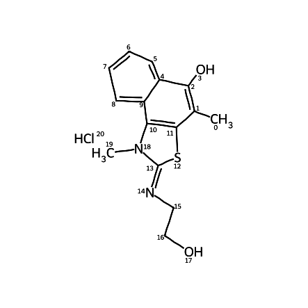 Cc1c(O)c2ccccc2c2c1s/c(=N\CCO)n2C.Cl